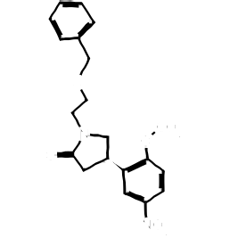 O=C(O)Oc1ccc([N+](=O)[O-])cc1[C@H]1CC(=O)N(CCOCc2ccccc2)C1